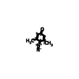 CC1=CC(=O)C=C(C)C1=[N+]=[N-]